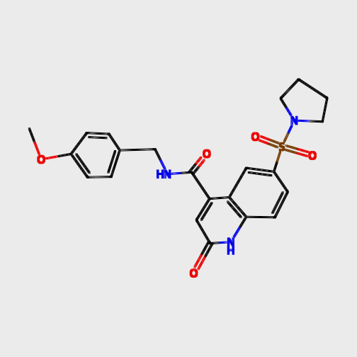 COc1ccc(CNC(=O)c2cc(=O)[nH]c3ccc(S(=O)(=O)N4CCCC4)cc23)cc1